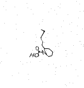 CCCCCC1CCCCN1C(=O)O